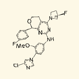 COc1cc(Nc2nc3c(c(N4CC[C@@H](F)C4)n2)CCOC3c2ccc(F)cc2)ccc1-n1cnc(Cl)c1